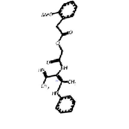 COc1ccccc1CC(=O)OCC(=O)N/C(C(C)=N)=C(\C)Nc1ccccc1